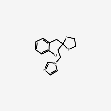 Clc1ccccc1CC1(CCn2ccnc2)SCCS1